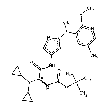 COc1ncc(C)cc1C(C)n1cc(NC(=O)[C@@H](NC(=O)OC(C)(C)C)C(C2CC2)C2CC2)cn1